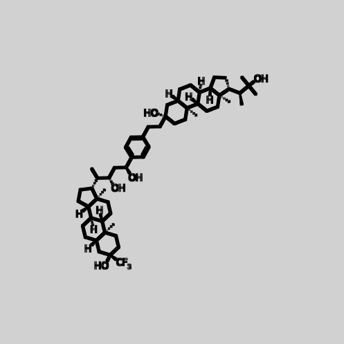 CC([C@H]1CC[C@H]2[C@@H]3CC[C@H]4C[C@](O)(C(F)(F)F)CC[C@]4(C)[C@H]3CC[C@]12C)[C@@H](O)C[C@H](O)c1ccc(CC[C@]2(O)CC[C@@]3(C)[C@@H](CC[C@@H]4[C@@H]3CC[C@]3(C)[C@@H]([C@H](C)C(C)(C)O)CC[C@@H]43)C2)cc1